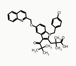 CC(C)(C)C(=O)c1c(CC(C)(C)C(=O)O)n(Cc2ccc(Cl)cc2)c2ccc(OCc3ccc4ccccc4n3)cc12